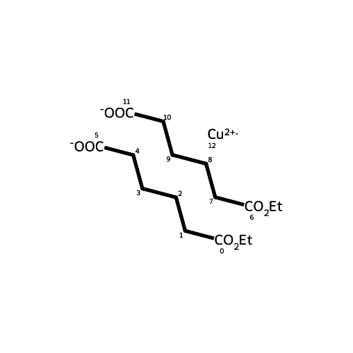 CCOC(=O)CCCCC(=O)[O-].CCOC(=O)CCCCC(=O)[O-].[Cu+2]